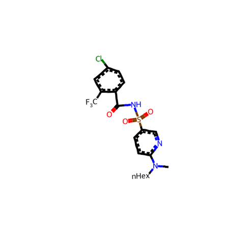 CCCCCCN(C)c1ccc(S(=O)(=O)NC(=O)c2ccc(Cl)cc2C(F)(F)F)cn1